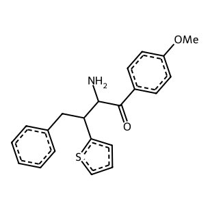 COc1ccc(C(=O)C(N)C(Cc2ccccc2)c2cccs2)cc1